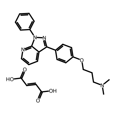 CN(C)CCCOc1ccc(-c2nn(-c3ccccc3)c3ncccc23)cc1.O=C(O)C=CC(=O)O